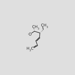 C=C/C=C/[C@@H](CC)[C@@H](C)[O]